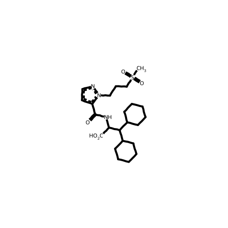 CS(=O)(=O)CCCn1nccc1C(=O)NC(C(=O)O)C(C1CCCCC1)C1CCCCC1